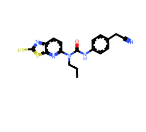 CCCN(C(=O)Nc1ccc(CC#N)cc1)c1ccc2nc(S)sc2n1